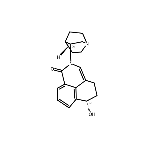 O=c1c2cccc3c2c(cn1[C@H]1CN2CCC1CC2)CC[C@@H]3O